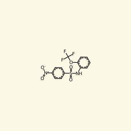 O=[N+]([O-])c1ccc(S(=O)(=O)Nc2ccccc2OC(F)(F)F)cc1